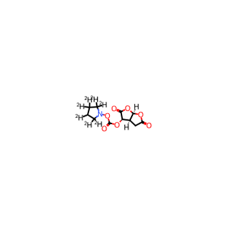 [2H]C1C([2H])([2H])N(OC(=O)O[C@H]2C(=O)O[C@H]3OC(=O)C[C@H]32)C([2H])([2H])C1([2H])[2H]